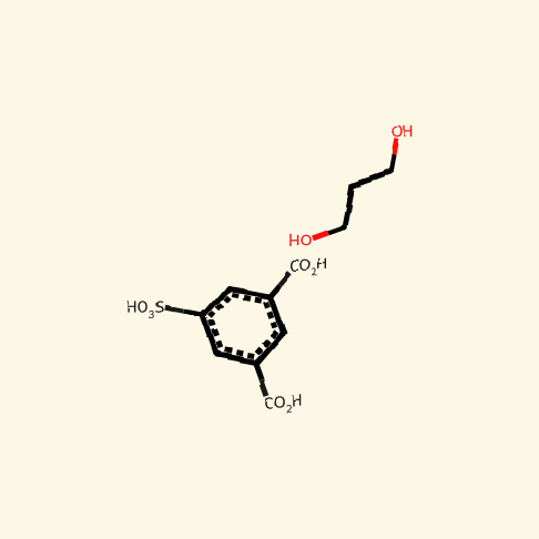 O=C(O)c1cc(C(=O)O)cc(S(=O)(=O)O)c1.OCCCO